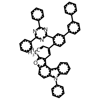 C=C/C(=C\c1c(C)oc2ccc3c(c4ccccc4n3-c3ccccc3)c12)c1ccc(-c2cccc(-c3ccccc3)c2)cc1-c1nc(-c2ccccc2)nc(-c2ccccc2)n1